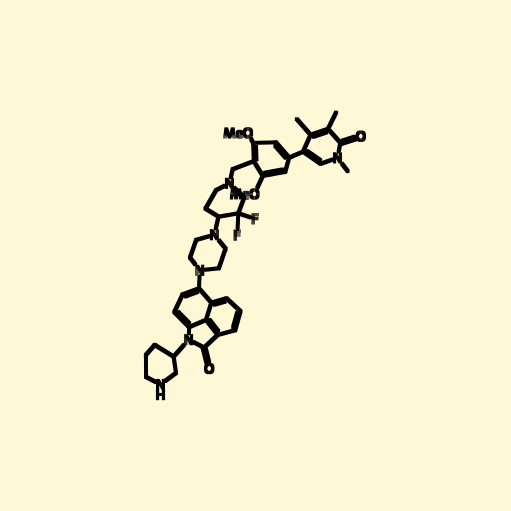 COc1cc(-c2cn(C)c(=O)c(C)c2C)cc(OC)c1CN1CCC(N2CCN(c3ccc4c5c(cccc35)C(=O)N4C3CCCNC3)CC2)C(F)(F)C1